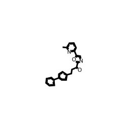 Cc1cccc(-c2cnc(C(=O)CCc3ccc(-c4ccccc4)cc3)o2)n1